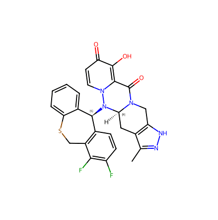 Cc1n[nH]c2c1C[C@@H]1N(C2)C(=O)c2c(O)c(=O)ccn2N1[C@@H]1c2ccccc2SCc2c1ccc(F)c2F